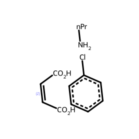 CCCN.Clc1ccccc1.O=C(O)/C=C\C(=O)O